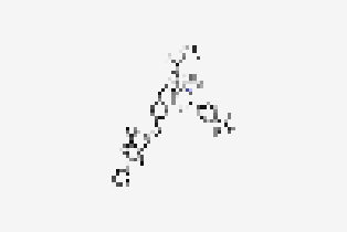 C=CC(=O)NCC(Cc1ccc(OCCc2nc(-c3ccccc3)oc2C)cc1)N/C(C)=C\C(=O)c1ccc(C(F)(F)F)cc1